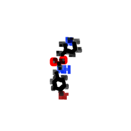 O=C(NCc1ccc(Br)cc1)OCc1cccnc1